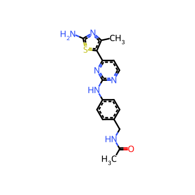 CC(=O)NCc1ccc(Nc2nccc(-c3sc(N)nc3C)n2)cc1